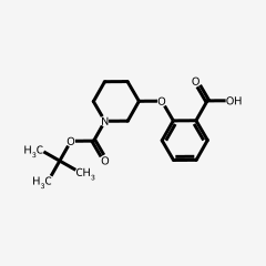 CC(C)(C)OC(=O)N1CCCC(Oc2ccccc2C(=O)O)C1